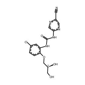 N#Cc1cnc(NC(=O)Nc2cc(Cl)ccc2OC[C@@H](O)CO)cn1